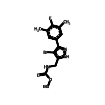 Cc1cc(-c2n[nH]c(CNC(=O)OC(C)(C)C)c2Br)cc(C)c1F